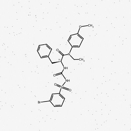 CCN(C(=O)[C@H](Cc1ccccc1)NC(=O)NS(=O)(=O)c1cccc(Br)c1)c1ccc(OC)cc1